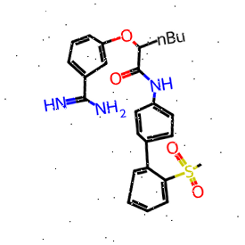 CCCCC(Oc1cccc(C(=N)N)c1)C(=O)Nc1ccc(-c2ccccc2S(C)(=O)=O)cc1